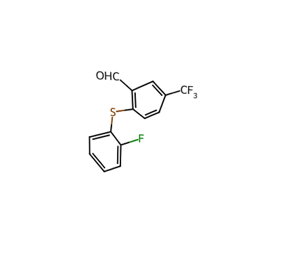 O=Cc1cc(C(F)(F)F)ccc1Sc1ccccc1F